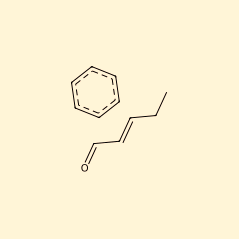 CCC=CC=O.c1ccccc1